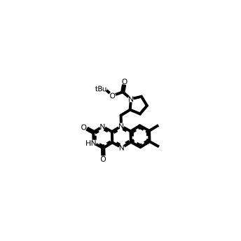 Cc1cc2nc3c(=O)[nH]c(=O)nc-3n(CC3CCCN3C(=O)OC(C)(C)C)c2cc1C